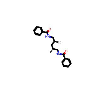 CCC(CNC(=O)c1ccccc1)C[C@H](C)CNC(=O)c1ccccc1